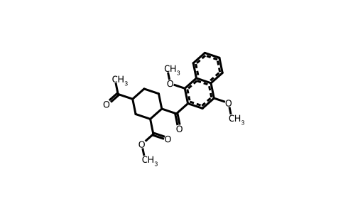 COC(=O)C1CC(C(C)=O)CCC1C(=O)c1cc(OC)c2ccccc2c1OC